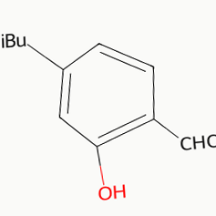 CCC(C)c1ccc(C=O)c(O)c1